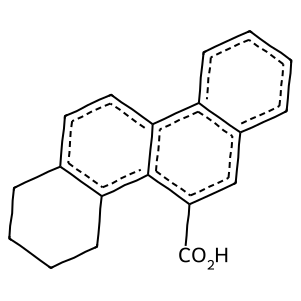 O=C(O)c1cc2ccccc2c2ccc3c(c12)CCCC3